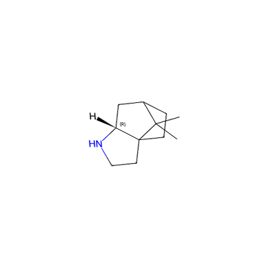 CC1(C)C2CCC13CCN[C@@H]3C2